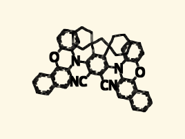 N#Cc1c(C#N)c(N2c3ccccc3Oc3c2ccc2ccccc32)c2c(c1N1c3ccccc3Oc3c1ccc1ccccc31)C1(CCCCC1)CC21CCCCC1